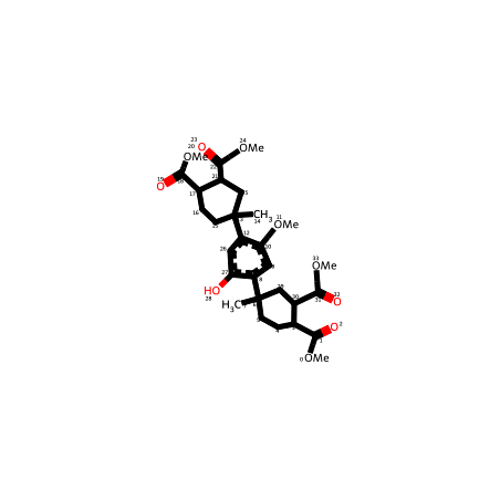 COC(=O)C1CCC(C)(c2cc(OC)c(C3(C)CCC(C(=O)OC)C(C(=O)OC)C3)cc2O)CC1C(=O)OC